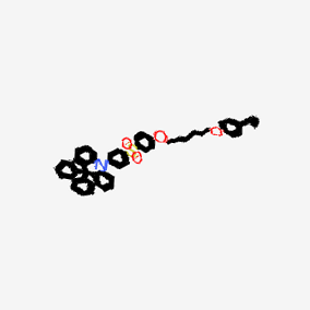 CCc1ccc(OCCCCCCOc2ccc(S(=O)(=O)c3ccc(N4c5ccccc5C(c5ccccc5)(c5ccccc5)c5ccccc54)cc3)cc2)cc1